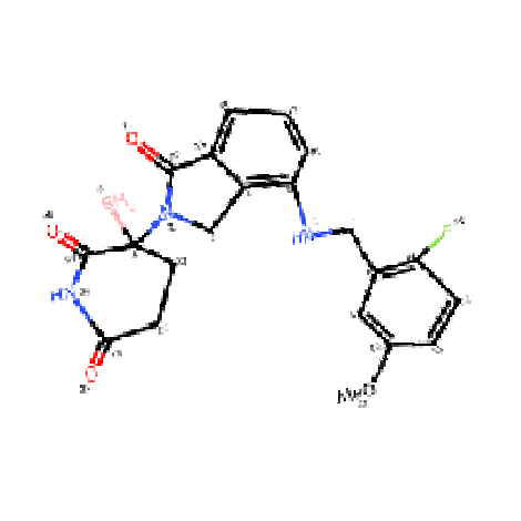 BC1(N2Cc3c(NCc4cc(OC)ccc4F)cccc3C2=O)CCC(=O)NC1=O